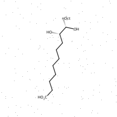 CCCCCCCC[C@H](O)[C@@H](O)CCCCCCCC(=O)O